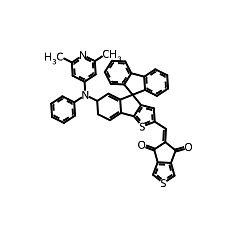 Cc1cc(N(c2ccccc2)C2C=C3C(=CC2)c2sc(C=C4C(=O)c5cscc5C4=O)cc2C32c3ccccc3-c3ccccc32)cc(C)n1